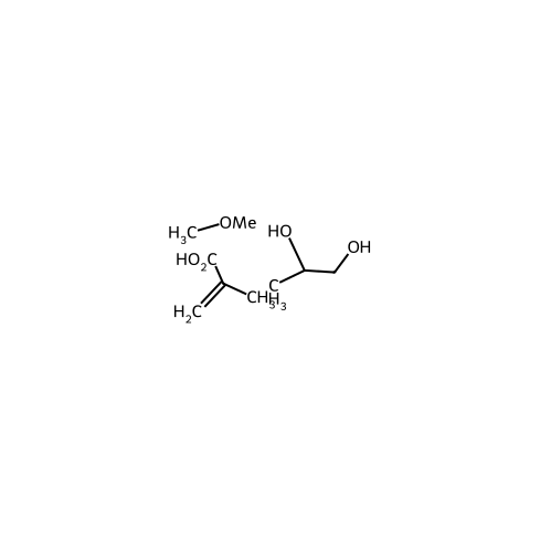 C=C(C)C(=O)O.CC(O)CO.COC